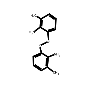 Cc1cccc(SSc2cccc(C)c2N)c1N